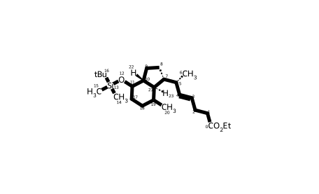 CCOC(=O)CC/C=C/[C@@H](C)[C@H]1CC[C@H]2C(O[Si](C)(C)C(C)(C)C)CCC(C)[C@H]12